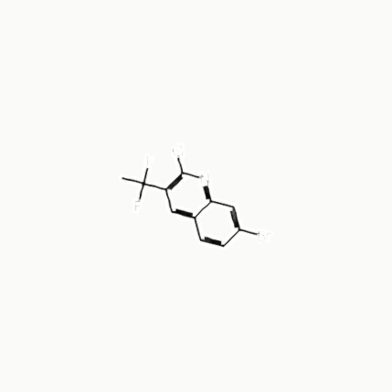 CC(F)(F)c1cc2ccc(Br)cc2nc1Cl